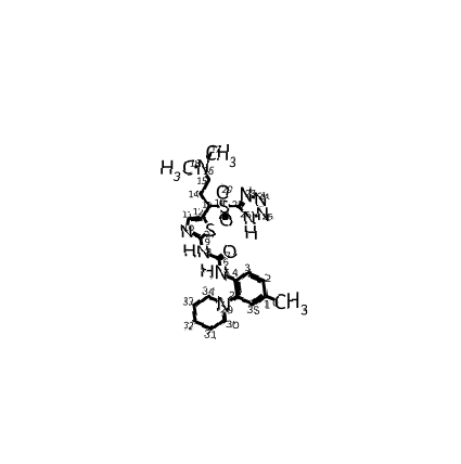 Cc1ccc(NC(=O)Nc2ncc(C(CCN(C)C)S(=O)(=O)c3nnn[nH]3)s2)c(N2CCCCC2)c1